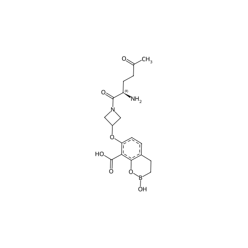 CC(=O)CC[C@@H](N)C(=O)N1CC(Oc2ccc3c(c2C(=O)O)OB(O)CC3)C1